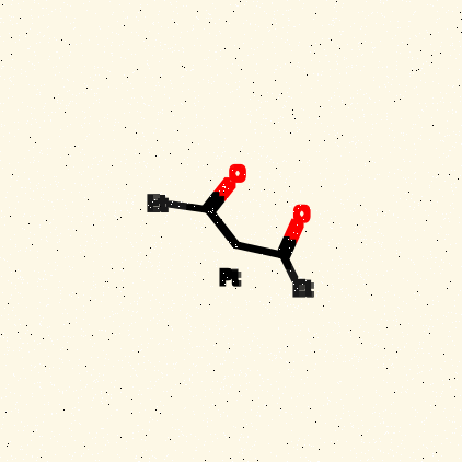 CCC(=O)CC(=O)CC.[Pt]